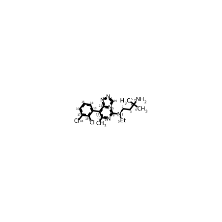 CCN(CCC(C)(C)N)c1nc(C)c(-c2cccc(Cl)c2Cl)c2nncn12